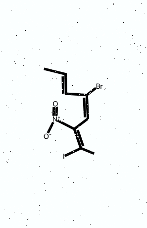 C/C=C/C(Br)=C\C(=C(/C)I)[N+](=O)[O-]